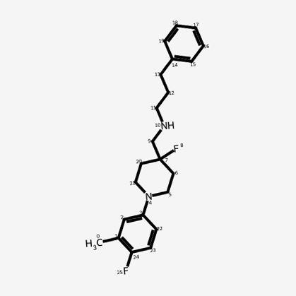 Cc1cc(N2CCC(F)(CNCCCc3ccccc3)CC2)ccc1F